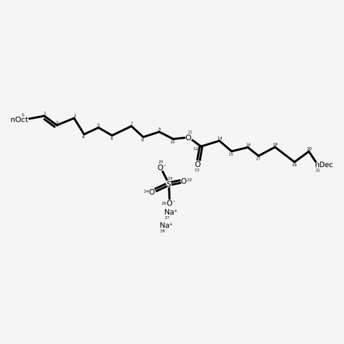 CCCCCCCCC=CCCCCCCCCOC(=O)CCCCCCCCCCCCCCCCC.O=S(=O)([O-])[O-].[Na+].[Na+]